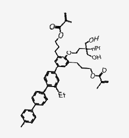 C=C(C)C(=O)OCCCc1cc(-c2ccc(-c3ccc(-c4ccc(C)cc4)cc3)c(CC)c2)cc(CCCOC(=O)C(=C)C)c1OCCC(CO)(CO)CCC